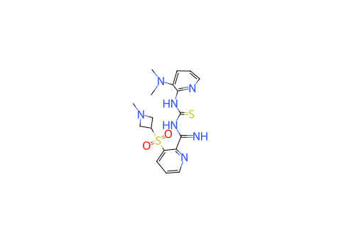 CN1CC(S(=O)(=O)c2cccnc2C(=N)NC(=S)Nc2ncccc2N(C)C)C1